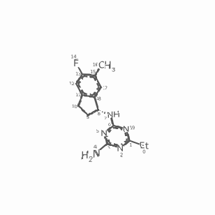 CCc1nc(N)nc(N[C@@H]2CCc3cc(F)c(C)cc32)n1